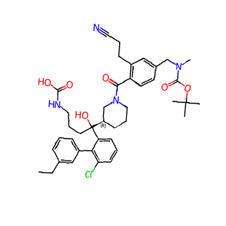 CCc1cccc(-c2c(Cl)cccc2C(O)(CCCNC(=O)O)[C@@H]2CCCN(C(=O)c3ccc(CN(C)C(=O)OC(C)(C)C)cc3CCC#N)C2)c1